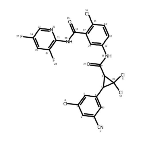 N#Cc1cc(Cl)cc(C2C(C(=O)Nc3ccc(Cl)c(C(=O)Nc4ncc(F)cc4F)c3)C2(Cl)Cl)c1